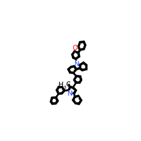 Cc1c(-c2cccc(-c3cccc4c3c3ccccc3n4-c3ccc4oc5ccccc5c4c3)c2)cc(-c2ccccc2)nc1-c1cccc(-c2ccccc2)c1